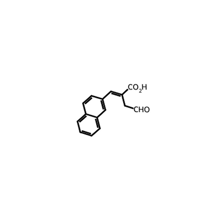 O=CCC(=Cc1ccc2ccccc2c1)C(=O)O